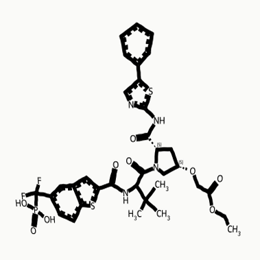 CCOC(=O)CO[C@H]1C[C@@H](C(=O)Nc2ncc(-c3ccccc3)s2)N(C(=O)C(NC(=O)c2cc3cc(C(F)(F)P(=O)(O)O)ccc3s2)C(C)(C)C)C1